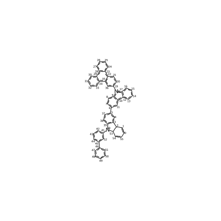 C1=CC2c3cc(-c4ccc5c(c4)c4ccccc4n5-c4ccc5c6ccccc6c6ccccc6c5c4)ccc3N(c3cccc(-c4ccccc4)c3)C2C=C1